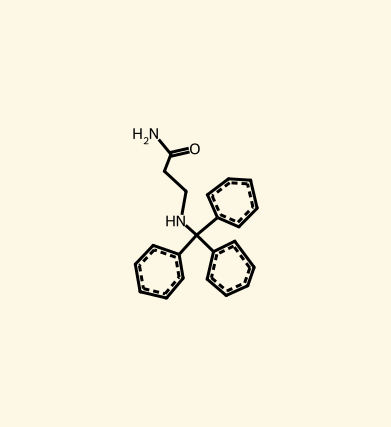 NC(=O)CCNC(c1ccccc1)(c1ccccc1)c1ccccc1